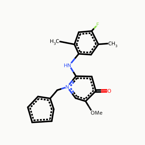 COc1cn(Cc2ccccc2)c(Nc2cc(C)c(F)cc2C)cc1=O